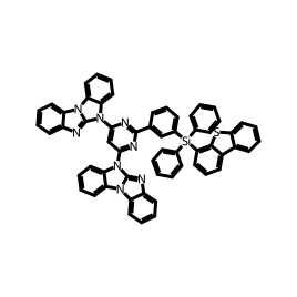 c1ccc([Si](c2ccccc2)(c2cccc(-c3nc(-n4c5ccccc5n5c6ccccc6nc45)cc(-n4c5ccccc5n5c6ccccc6nc45)n3)c2)c2cccc3c2sc2ccccc23)cc1